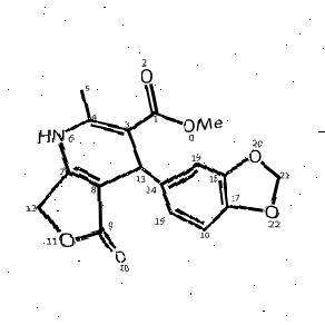 COC(=O)C1=C(C)NC2=C(C(=O)OC2)C1c1ccc2c(c1)OCO2